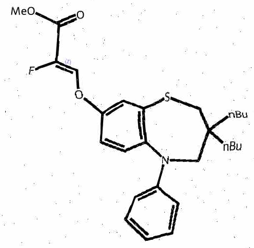 CCCCC1(CCCC)CSc2cc(O/C=C(\F)C(=O)OC)ccc2N(c2ccccc2)C1